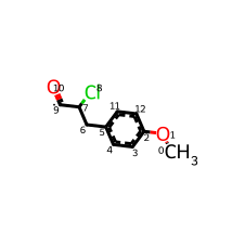 COc1ccc(CC(Cl)[C]=O)cc1